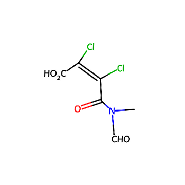 CN(C=O)C(=O)/C(Cl)=C(/Cl)C(=O)O